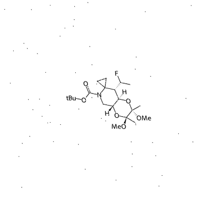 CO[C@@]1(C)O[C@@H]2[C@@H](C(C)F)C3(CC3)N(C(=O)OC(C)(C)C)C[C@H]2O[C@]1(C)OC